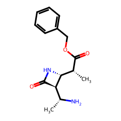 C[C@@H](N)[C@H]1C(=O)N[C@@H]1[C@@H](C)C(=O)OCc1ccccc1